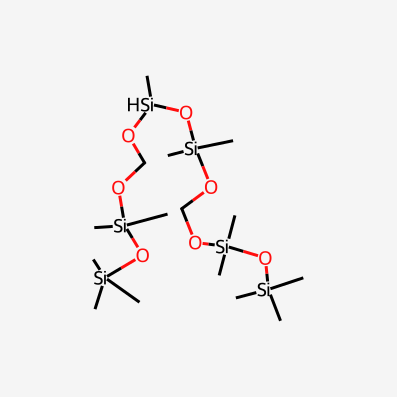 C[SiH](OCO[Si](C)(C)O[Si](C)(C)C)O[Si](C)(C)OCO[Si](C)(C)O[Si](C)(C)C